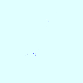 CCn1c2ccccc2c2cc(/C=C3/CC(=S)N(C)C3=O)ccc21